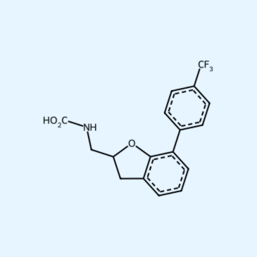 O=C(O)NCC1Cc2cccc(-c3ccc(C(F)(F)F)cc3)c2O1